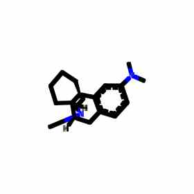 CN(C)c1ccc2c(c1)[C@@]13CCCC[C@H]1[C@@H](C2)N(C)CC3